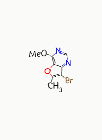 COc1ncnc2c(Br)c(C)oc12